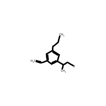 C=Cc1cc(CCC)cc([C](C)CF)c1